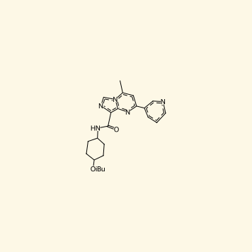 Cc1cc(-c2cccnc2)nc2c(C(=O)NC3CCC(OCC(C)C)CC3)ncn12